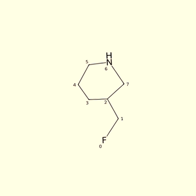 FCC1CCCNC1